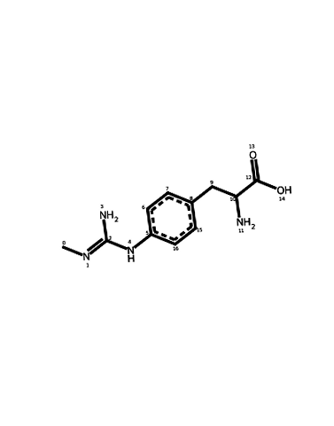 C/N=C(\N)Nc1ccc(CC(N)C(=O)O)cc1